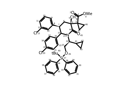 COC(=O)C1([C@@]2(C)C[C@H](c3cccc(Cl)c3)C(c3ccc(Cl)cc3)N([C@H](CO[Si](c3ccccc3)(c3ccccc3)C(C)(C)C)C3CC3)C2=O)CC1